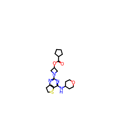 O=C(OC1CN(c2nc3c(c(NC4CCOCC4)n2)SCC3)C1)C1CCCC1